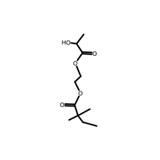 CCC(C)(C)C(=O)OCCOC(=O)C(C)O